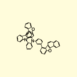 c1cc(-c2cccc3oc4c5ccccc5ccc4c23)cc(N(c2ccc3c(c2)oc2ccccc23)c2ccccc2-n2c3ccccc3c3ccccc32)c1